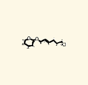 ClCCCC=CCOC1CCCCO1